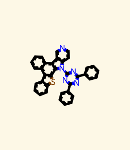 c1ccc(-c2nc(-c3ccccc3)nc(-n3c4ccncc4c4c5ccccc5c5c6ccccc6sc5c43)n2)cc1